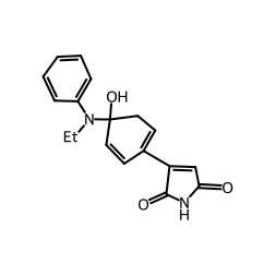 CCN(c1ccccc1)C1(O)C=CC(C2=CC(=O)NC2=O)=CC1